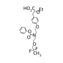 CCOC(Cc1ccc(OCCN(CCOCC(C)(F)F)C(=O)Oc2ccccc2)cc1)C(=O)O